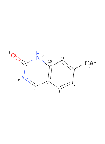 CC(=O)Oc1ccc2cnc(=O)[nH]c2c1